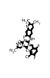 C=C1N(CC(C)=N)C(=O)N=C(Nc2cc3c(cc2F)=NC(C)C(C)C=3)N1Cc1cc(Cl)c(F)cc1F